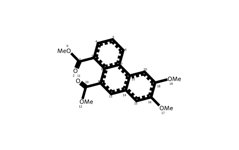 COC(=O)c1cccc2c1c(C(=O)OC)cc1cc(OC)c(OC)cc12